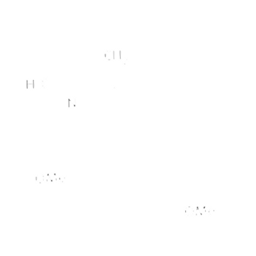 C=C(CCCCOC)N(C)CCOC